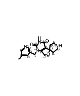 Cc1cncc(Cn2c3c(c(=O)[nH]c2=O)C2(CCNCC2)OC3)c1